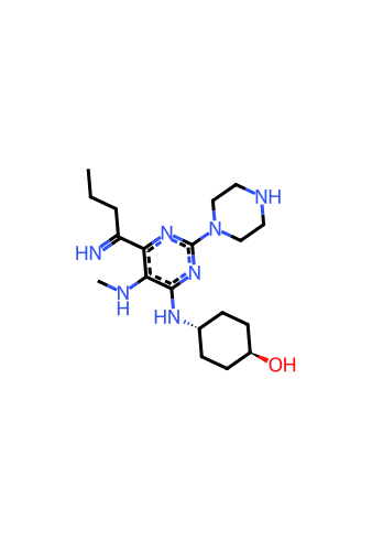 CCCC(=N)c1nc(N2CCNCC2)nc(N[C@H]2CC[C@H](O)CC2)c1NC